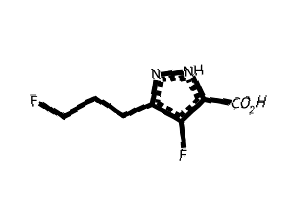 O=C(O)c1[nH]nc(CCCF)c1F